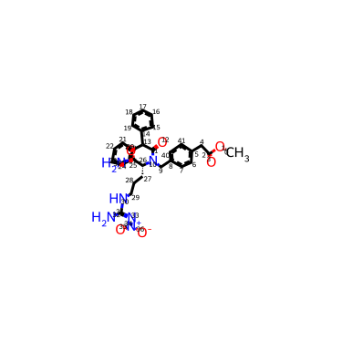 COC(=O)Cc1ccc(CN(C(=O)C(c2ccccc2)c2ccccc2)[C@H](CCCNC(N)=N[N+](=O)[O-])C(N)=O)cc1